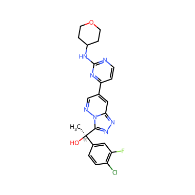 C[C@@](O)(c1ccc(Cl)c(F)c1)c1nnc2cc(-c3ccnc(NC4CCOCC4)n3)cnn12